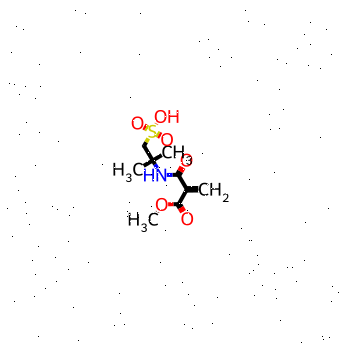 C=C(C(=O)NC(C)(C)CS(=O)(=O)O)C(=O)OC